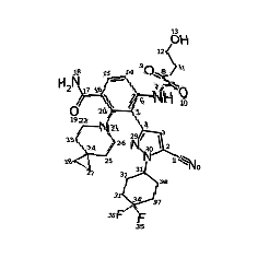 N#Cc1cc(-c2c(NS(=O)(=O)CCO)ccc(C(N)=O)c2N2CCC3(CC2)CC3)nn1C1CCC(F)(F)CC1